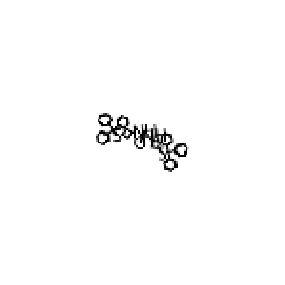 O=C(NC1CC(SC(c2ccccc2)(c2ccccc2)c2ccccc2)C1)NC1CC(SC(c2ccccc2)(c2ccccc2)c2ccccc2)C1